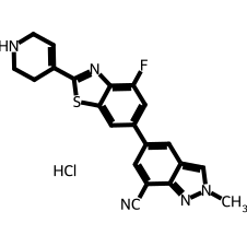 Cl.Cn1cc2cc(-c3cc(F)c4nc(C5=CCNCC5)sc4c3)cc(C#N)c2n1